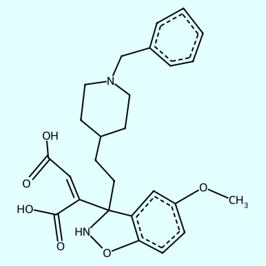 COc1ccc2c(c1)C(CCC1CCN(Cc3ccccc3)CC1)(C(=CC(=O)O)C(=O)O)NO2